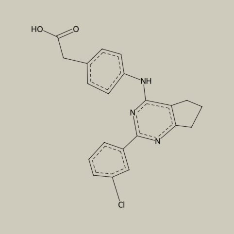 O=C(O)Cc1ccc(Nc2nc(-c3cccc(Cl)c3)nc3c2CCC3)cc1